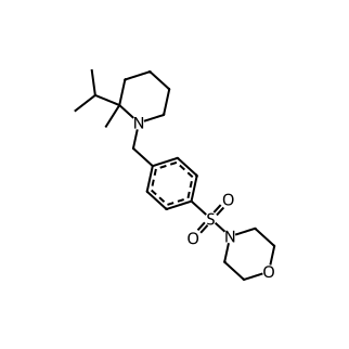 CC(C)C1(C)CCCCN1Cc1ccc(S(=O)(=O)N2CCOCC2)cc1